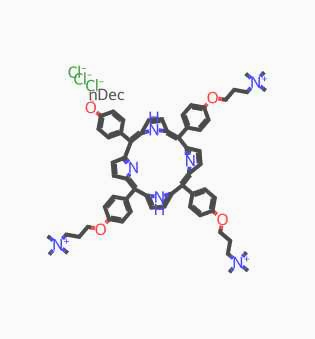 CCCCCCCCCCOc1ccc(-c2c3nc(c(-c4ccc(OCCC[N+](C)(C)C)cc4)c4ccc([nH]4)c(-c4ccc(OCCC[N+](C)(C)C)cc4)c4nc(c(-c5ccc(OCCC[N+](C)(C)C)cc5)c5ccc2[nH]5)C=C4)C=C3)cc1.[Cl-].[Cl-].[Cl-]